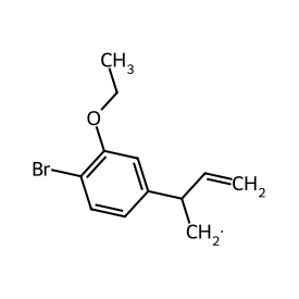 [CH2]C(C=C)c1ccc(Br)c(OCC)c1